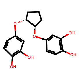 Oc1ccc(O[C@@H]2CCC[C@H]2Oc2ccc(O)c(O)c2)cc1O